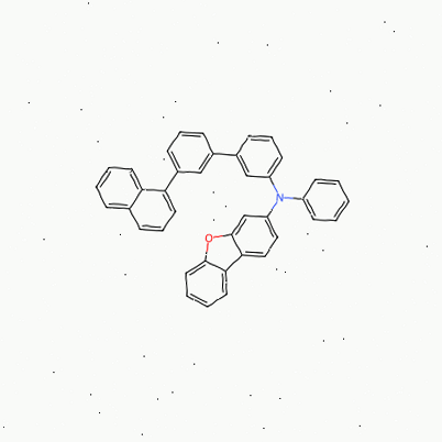 c1ccc(N(c2cccc(-c3cccc(-c4cccc5ccccc45)c3)c2)c2ccc3c(c2)oc2ccccc23)cc1